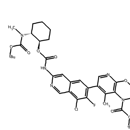 Cc1c(-c2cc3cc(NC(=O)O[C@@H]4CCCC[C@H]4N(C)C(=O)OC(C)(C)C)ncc3c(Cl)c2F)cnc2c1N(C(=O)OC(C)(C)C)CCO2